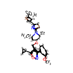 CC[C@@H]1C[C@H](OCc2c(-c3ccccc3OC(F)(F)F)noc2C2CC2)C[C@H](C)N1c1nc(-c2csc(C(=O)O)c2)cs1